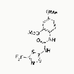 COc1ccc(NC(=O)Nc2nnc(C(F)(F)F)s2)c(OC)c1